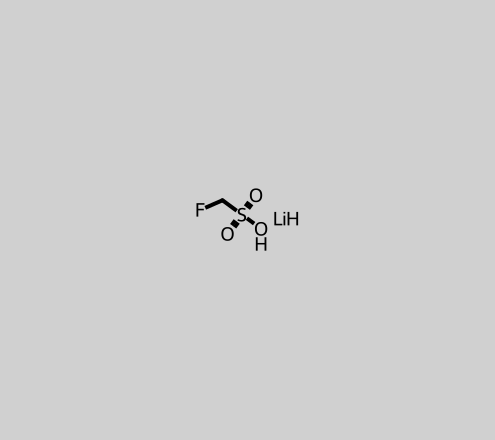 O=S(=O)(O)CF.[LiH]